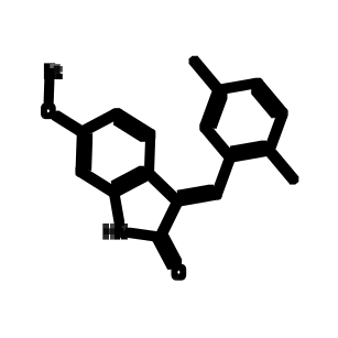 CCOc1ccc2c(c1)NC(=O)/C2=C/c1cc(C)ccc1C